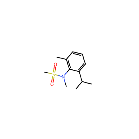 Cc1cccc(C(C)C)c1N(C)S(C)(=O)=O